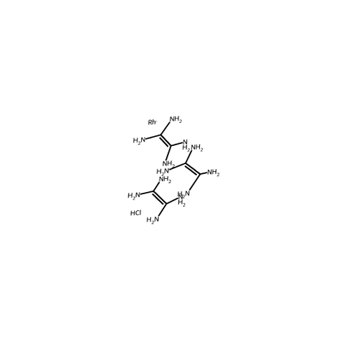 Cl.NC(N)=C(N)N.NC(N)=C(N)N.NC(N)=C(N)N.[Rh]